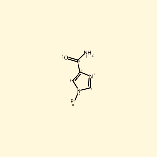 CC(C)n1cnc(C(N)=O)c1